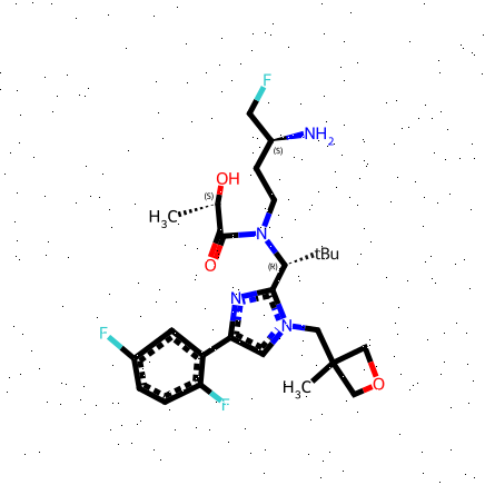 C[C@H](O)C(=O)N(CC[C@H](N)CF)[C@@H](c1nc(-c2cc(F)ccc2F)cn1CC1(C)COC1)C(C)(C)C